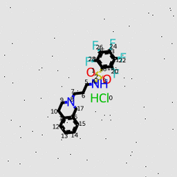 Cl.O=S(=O)(NCCCN1CCc2ccccc2C1)c1c(F)c(F)c(F)c(F)c1F